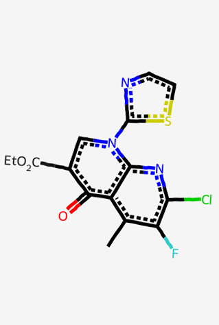 CCOC(=O)c1cn(-c2nccs2)c2nc(Cl)c(F)c(C)c2c1=O